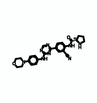 N#Cc1cc(-c2ncnc(Nc3ccc(N4CCOCC4)cc3)n2)ccc1NC(=O)[C@@H]1CCCN1